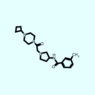 Cc1cccc(C(=O)NC2CCN(CC(=O)N3CCN(C4CCC4)CC3)C2)c1